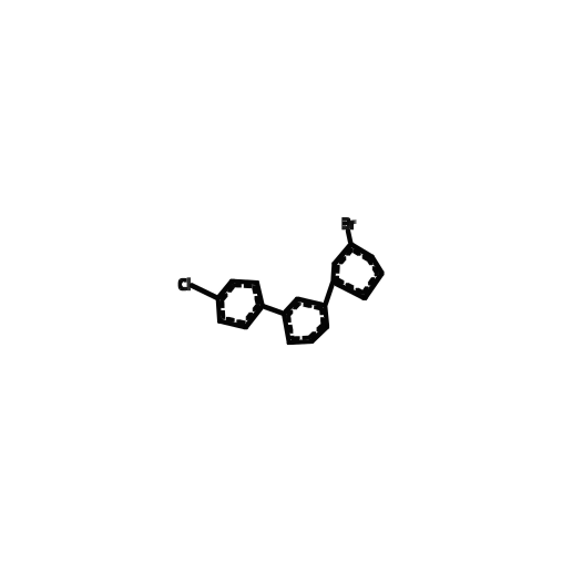 Clc1ccc(-c2cccc(-c3cccc(Br)c3)c2)cc1